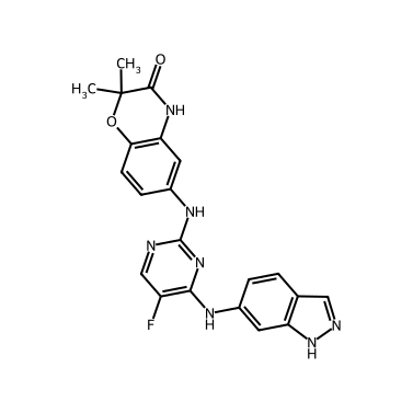 CC1(C)Oc2ccc(Nc3ncc(F)c(Nc4ccc5cn[nH]c5c4)n3)cc2NC1=O